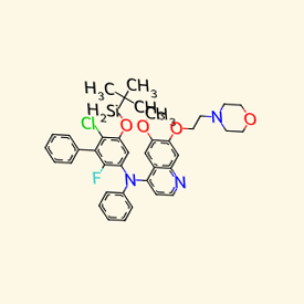 COc1cc2c(N(c3ccccc3)c3cc(O[SiH2]C(C)(C)C)c(Cl)c(-c4ccccc4)c3F)ccnc2cc1OCCN1CCOCC1